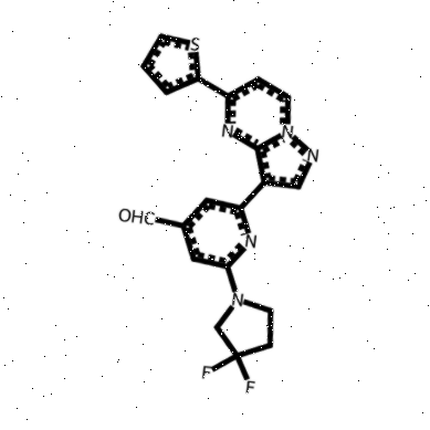 O=Cc1cc(-c2cnn3ccc(-c4cccs4)nc23)nc(N2CCC(F)(F)C2)c1